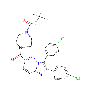 CC(C)(C)OC(=O)N1CCN(C(=O)c2ccc3nc(-c4ccc(Cl)cc4)c(-c4ccc(Cl)cc4)n3c2)CC1